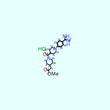 COC(=O)CC1CCN(C(=O)C2CCN(c3ccc(C(=N)N)cc3)CC2)CC1.Cl